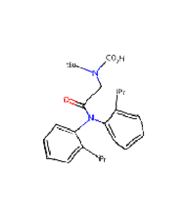 CC(C)c1ccccc1N(C(=O)CN(C(=O)O)C(C)(C)C)c1ccccc1C(C)C